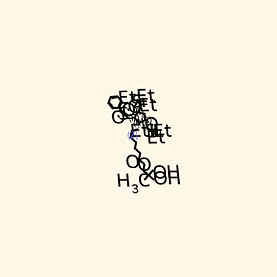 CC[Si](CC)(CC)O[C@H]1C[C@@H](O[Si](CC)(CC)CC)[C@H](CS(=O)(=O)c2ccccc2)[C@H]1C/C=C\CCCC(=O)OCC(C)(CO)CO